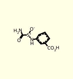 NC(=O)[S+]([O-])Nc1cccc(C(=O)O)c1